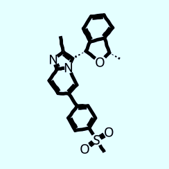 Cc1nc2ccc(-c3ccc(S(C)(=O)=O)cc3)cn2c1[C@H]1O[C@@H](C)c2ccccc21